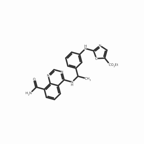 CCOC(=O)c1cnc(Nc2cccc(C(C)Nc3ncnc4c(C(N)=O)cccc34)c2)o1